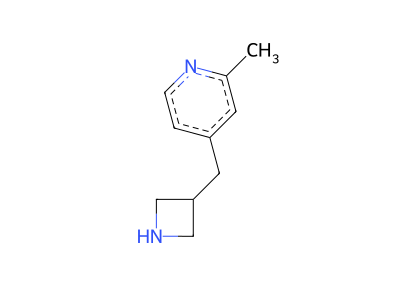 Cc1cc(CC2CNC2)ccn1